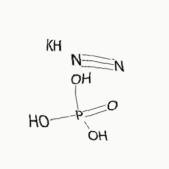 N#N.O=P(O)(O)O.[KH]